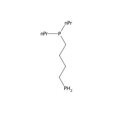 CCCP(CCC)CCCCP